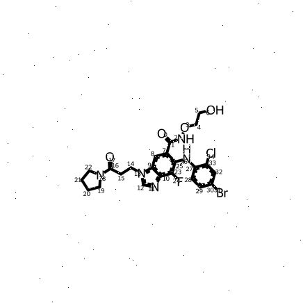 O=C(NOCCO)c1cc2c(ncn2CCC(=O)N2CCCC2)c(F)c1Nc1ccc(Br)cc1Cl